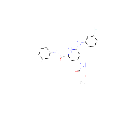 Cc1cccc(NC(=O)c2cc(NC(=O)OC(C)(C)C)cc(Nc3cccc(F)c3)n2)c1